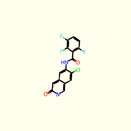 O=C1C=c2cc(NC(=O)c3c(F)ccc(F)c3F)c(Cl)cc2=C[N]1